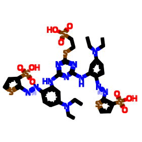 CCN(CC)c1ccc(/N=N/c2sccc2S(=O)(=O)O)c(Nc2nc(Nc3cc(N(CC)CC)ccc3/N=N/c3sccc3S(=O)(=O)O)nc(SCCS(=O)(=O)O)n2)c1